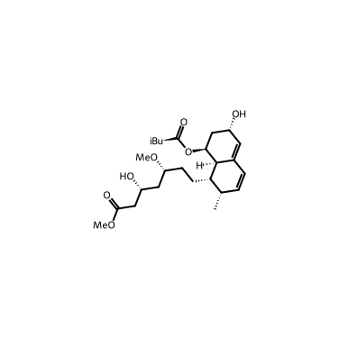 CC[C@H](C)C(=O)O[C@H]1C[C@H](O)C=C2C=C[C@H](C)[C@H](CC[C@H](C[C@@H](O)CC(=O)OC)OC)[C@H]21